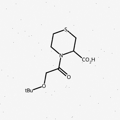 CC(C)(C)OCC(=O)N1CCSCC1C(=O)O